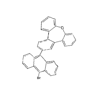 Brc1c2ccccc2c(-c2ccc3c(c2)-c2ccccc2Oc2ccccc2-3)c2ccccc12